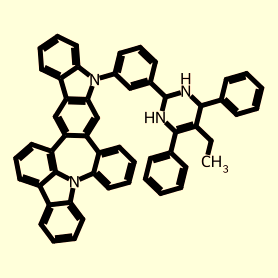 CCC1=C(c2ccccc2)NC(c2cccc(-n3c4ccccc4c4cc5c(cc43)-c3ccccc3-n3c4ccccc4c4cccc-5c43)c2)NC1c1ccccc1